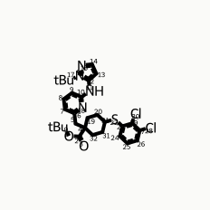 CC(C)(C)OC(=O)C1(Cc2cccc(Nc3ccnn3C(C)(C)C)n2)CCC(Sc2cccc(Cl)c2Cl)CC1